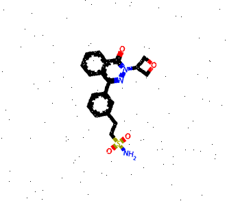 NS(=O)(=O)CCc1cccc(-c2nn(C3COC3)c(=O)c3ccccc23)c1